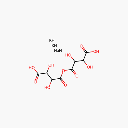 O=C(O)C(O)C(O)C(=O)OC(=O)C(O)C(O)C(=O)O.[KH].[KH].[NaH]